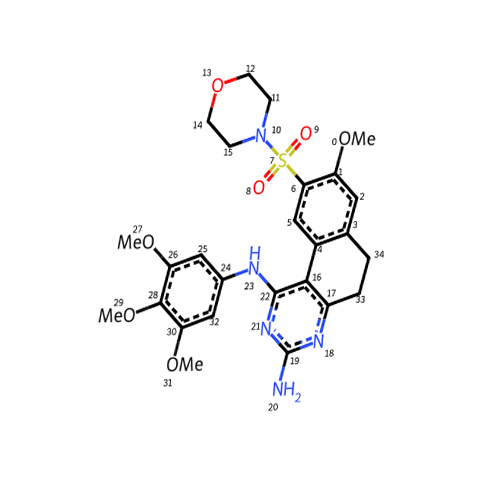 COc1cc2c(cc1S(=O)(=O)N1CCOCC1)-c1c(nc(N)nc1Nc1cc(OC)c(OC)c(OC)c1)CC2